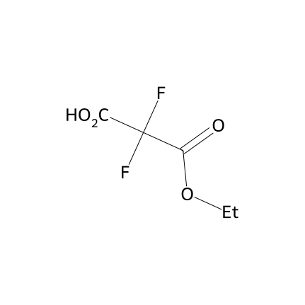 CCOC(=O)C(F)(F)C(=O)O